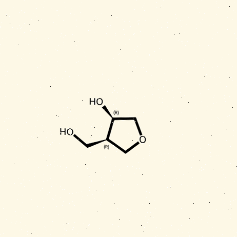 OC[C@@H]1COC[C@@H]1O